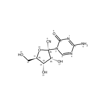 N#C[C@@]1(n2cnc(N)nc2=O)O[C@H](CO)[C@@H](O)[C@H]1O